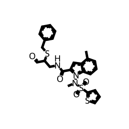 Cc1cccc2c1cc(C(=O)NCC(C=O)SCc1ccccc1)n2N(C)S(=O)(=O)c1cccs1